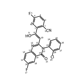 N#Cc1ccc(F)nc1C(O)=Cc1nc2ccc(F)cc2c(=O)n1-c1ccccc1Cl